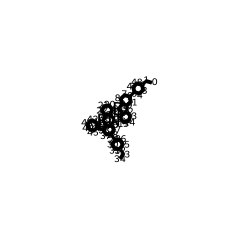 C=Cc1ccc(-c2ccc3c(c2)-c2cccc4c2B3c2cccc3c2N4c2cc(-c4ccc(C=C)cc4)cc4c2B3c2ccccc2-4)cc1